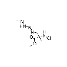 C=NNN=NCC(C)(NCl)C(=O)OC